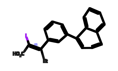 CC/C(=C(/I)C(=O)O)c1cccc(-c2cccc3ccccc23)c1